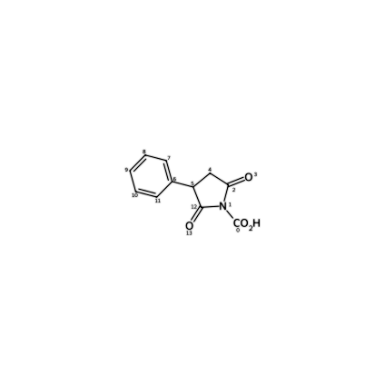 O=C(O)N1C(=O)CC(c2ccccc2)C1=O